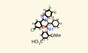 COc1cc(C(=O)O)ccc1NC(=O)C(C1CCCCC1)n1c(-c2ccc(Cl)cc2)nc2cc(F)c(F)cc21